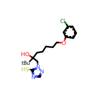 CC(C)(C)C(O)(CCCCCOc1cccc(Cl)c1)Cn1ncnc1S